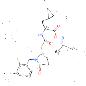 CC(C)=NOC(=O)[C@H](CC1CC1)NC(=O)C[C@@H]1CCC(=O)N1Cc1cccc(F)c1F